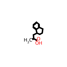 C=C(CC1CCCc2ccccc21)C(=O)O